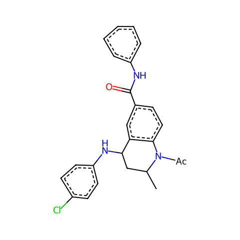 CC(=O)N1c2ccc(C(=O)Nc3ccccc3)cc2C(Nc2ccc(Cl)cc2)CC1C